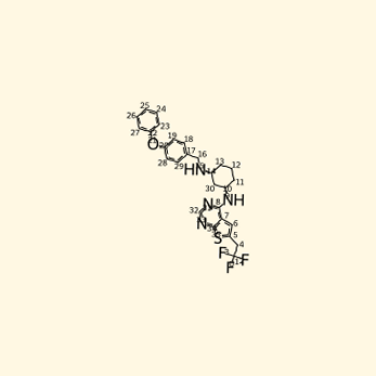 FC(F)(F)Cc1cc2c(N[C@@H]3CCC[C@H](NCc4ccc(Oc5ccccc5)cc4)C3)ncnc2s1